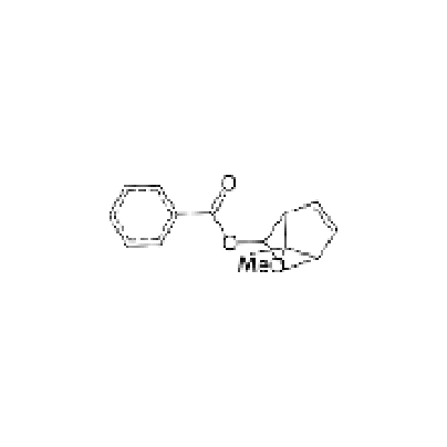 COC1(C)C2C=CC1C(OC(=O)c1ccccc1)C2